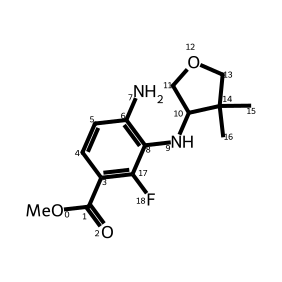 COC(=O)c1ccc(N)c(NC2COCC2(C)C)c1F